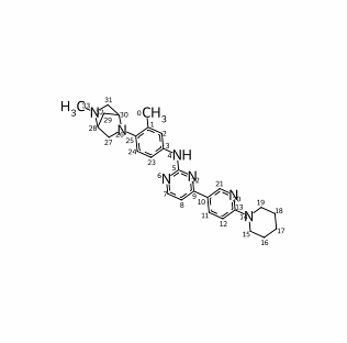 Cc1cc(Nc2nccc(-c3ccc(N4CCCCC4)nc3)n2)ccc1N1CC2CC1CN2C